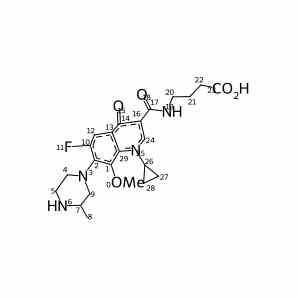 COc1c(N2CCNC(C)C2)c(F)cc2c(=O)c(C(=O)NCCCC(=O)O)cn(C3CC3)c12